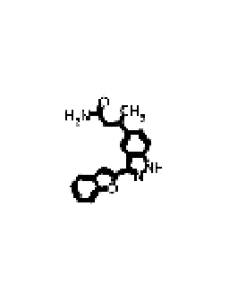 CC(CC(N)=O)c1ccc2[nH]nc(-c3cc4ccccc4o3)c2c1